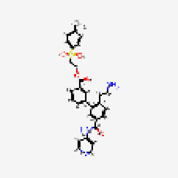 Cc1ccc(S(=O)(=O)CCOC(=O)c2cccc(-c3cc(C(=O)Nc4ccncc4)ccc3CCN)c2)cc1